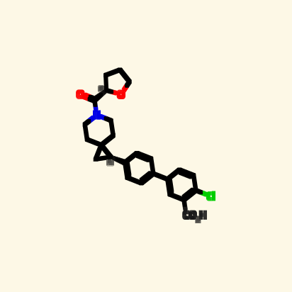 O=C(O)c1cc(-c2ccc([C@H]3CC34CCN(C(=O)[C@H]3CCCO3)CC4)cc2)ccc1Cl